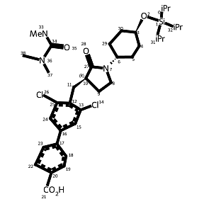 CC(C)[Si](O[C@H]1CC[C@H](N2CC[C@@H](Cc3c(Cl)cc(-c4ccc(C(=O)O)cc4)cc3Cl)C2=O)CC1)(C(C)C)C(C)C.CNC(=O)N(C)C